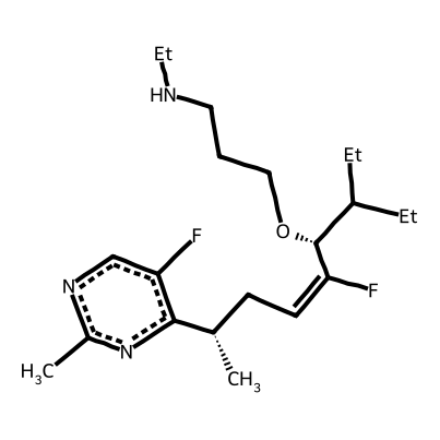 CCNCCCO[C@@H](/C(F)=C\C[C@H](C)c1nc(C)ncc1F)C(CC)CC